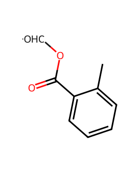 Cc1ccccc1C(=O)O[C]=O